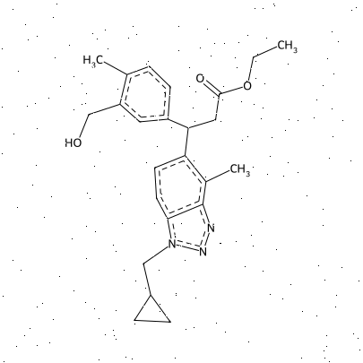 CCOC(=O)CC(c1ccc(C)c(CO)c1)c1ccc2c(nnn2CC2CC2)c1C